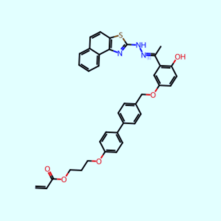 C=CC(=O)OCCCOc1ccc(-c2ccc(COc3ccc(O)c(/C(C)=N/Nc4nc5c(ccc6ccccc65)s4)c3)cc2)cc1